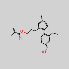 C=C(C)C(=O)OCCCc1cc(C)ccc1-c1ccc(CO)cc1CC